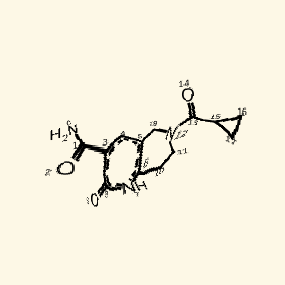 NC(=O)c1cc2c([nH]c1=O)CCN(C(=O)C1CC1)C2